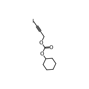 O=C(OCC#CI)OC1CCCCC1